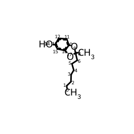 CCCCCCCC1(C)Oc2ccc(O)cc2O1